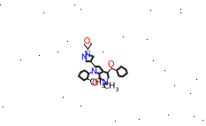 Cc1ccccc1-n1c(-c2cnn(C3COC3)c2)cc2c(C(=O)c3ccccc3)cn(C)c(=O)c21